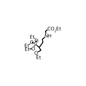 CCOCC(CCNCC(=O)OCC)[Si](OCC)(OCC)OCC